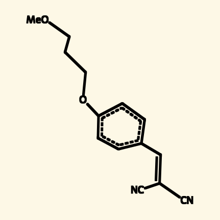 COCCCOc1ccc(C=C(C#N)C#N)cc1